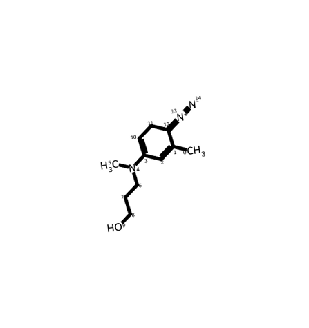 CC1=CC(N(C)CCCO)=CCC1=[N+]=[N-]